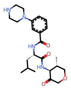 CC(C)C[C@H](NC(=O)c1cccc(N2CCNCC2)c1)C(=O)N[C@@H]1C(=O)COC[C@H]1C